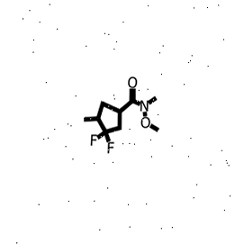 CON(C)C(=O)C1CC(C)C(F)(F)C1